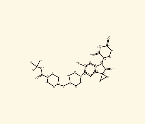 CC(C)(C)OC(=O)N1CCC(CN2CCN(c3cc4c(cc3F)N(C3CCC(=O)NC3=O)C(=O)C43CC3)CC2)CC1